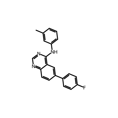 Cc1cccc(Nc2ncnc3ccc(-c4ccc(F)cc4)cc23)c1